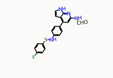 O=CNc1cc(-c2ccc(NSc3ccc(F)cc3)cc2)c2cc[nH]c2n1